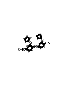 COc1ccc(C=O)cc1OC1CCCC1.COc1ccc(C=O)cc1OC1CCCC1